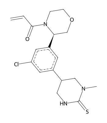 C=CC(=O)N1CCOC[C@H]1c1cc(Cl)cc(C2CNC(=S)N(C)C2)c1